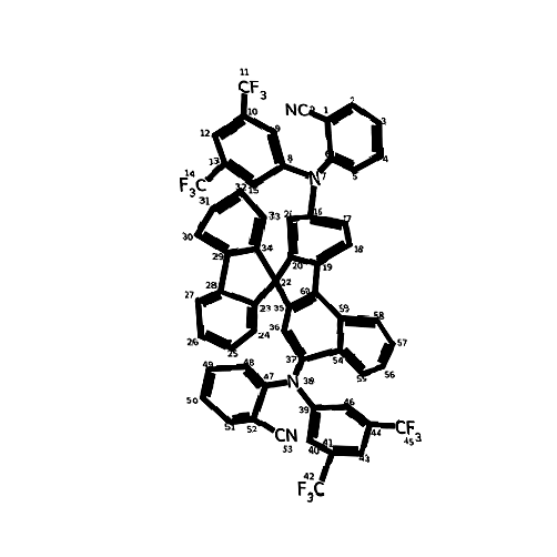 N#Cc1ccccc1N(c1cc(C(F)(F)F)cc(C(F)(F)F)c1)c1ccc2c(c1)C1(c3ccccc3-c3ccccc31)c1cc(N(c3cc(C(F)(F)F)cc(C(F)(F)F)c3)c3ccccc3C#N)c3ccccc3c1-2